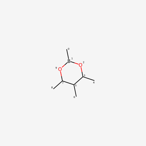 CB1OC(C)C(C)C(C)O1